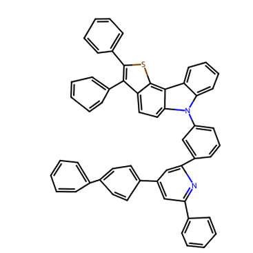 c1ccc(-c2ccc(-c3cc(-c4ccccc4)nc(-c4cccc(-n5c6ccccc6c6c7sc(-c8ccccc8)c(-c8ccccc8)c7ccc65)c4)c3)cc2)cc1